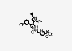 CCS(=O)(=O)c1ccc(CNC(=O)N2CC(c3cccc(Cl)c3)C(c3cc(C4CC4)nn3C(C)C)C2)nc1